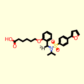 [2H]C(c1ccccc1OCCCCCC(=O)O)N(C(C)C)S(=O)(=O)c1ccc(-c2ccco2)cc1